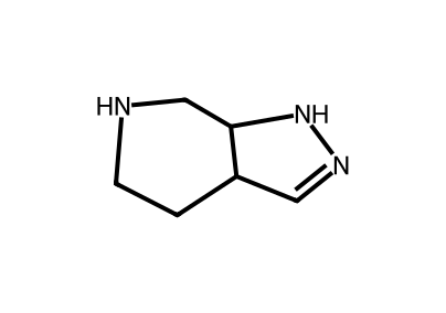 C1=NNC2CNCCC12